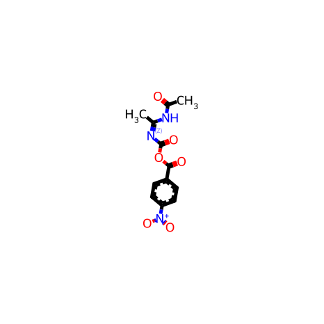 CC(=O)N/C(C)=N\C(=O)OC(=O)c1ccc([N+](=O)[O-])cc1